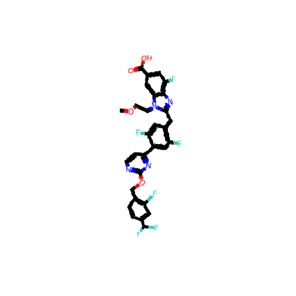 COCCn1c(Cc2cc(F)c(-c3ccnc(OCc4ccc(C(F)F)cc4F)n3)cc2F)nc2c(F)cc(C(=O)O)cc21